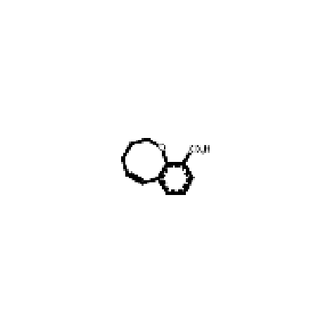 O=C(O)c1cccc2c1OCCCC=C2